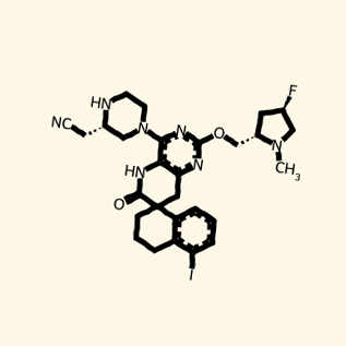 CN1C[C@H](F)C[C@H]1COc1nc2c(c(N3CCN[C@@H](CC#N)C3)n1)NC(=O)C1(CCCc3c(I)cccc31)C2